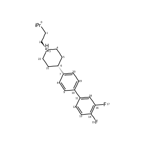 CC(C)CC[Si@H]1CC[C@H](c2ccc(-c3ccc(F)c(F)c3)cc2)CC1